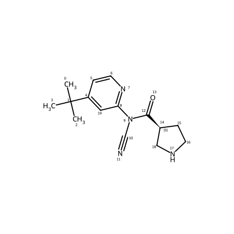 CC(C)(C)c1ccnc(N(C#N)C(=O)[C@H]2CCNC2)c1